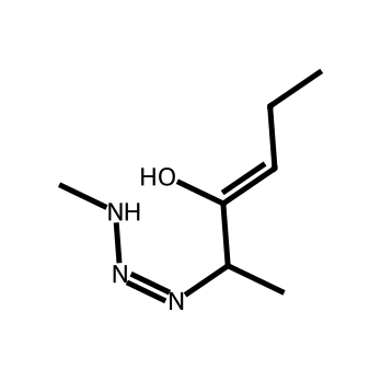 CCC=C(O)C(C)/N=N\NC